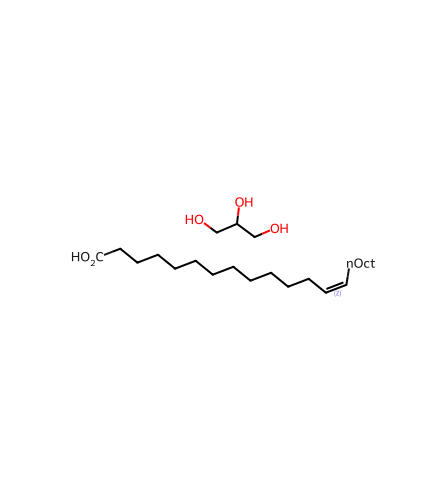 CCCCCCCC/C=C\CCCCCCCCCCCC(=O)O.OCC(O)CO